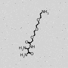 NCCOCCOCCOCC(=O)NC(N)C(N)=O